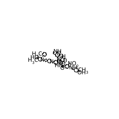 Cc1ccccc1[C@@H]1C[C@@](C)(O)CCN1C1CC2(CCN(c3ccc(C(=O)NS(=O)(=O)c4ccc(NCC5CCC(C)(O)CC5)c([N+](=O)[O-])c4)c(N4c5cc6cc[nH]c6nc5O[C@H]5COCC[C@@H]54)c3)CC2)C1